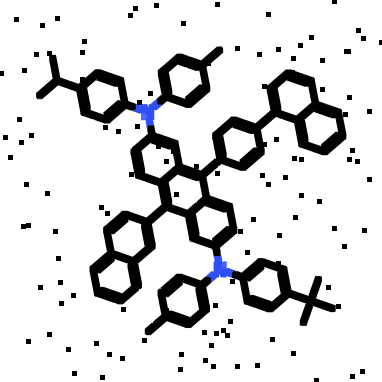 Cc1ccc(N(c2ccc(C(C)C)cc2)c2ccc3c(-c4ccc5ccccc5c4)c4cc(N(c5ccc(C)cc5)c5ccc(C(C)(C)C)cc5)ccc4c(-c4ccc(-c5cccc6ccccc56)cc4)c3c2)cc1